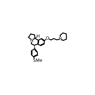 CSc1ccc([C@H]2CN3CCC[C@@H]3c3cc(OCCCN4CCCCC4)ccc32)cc1